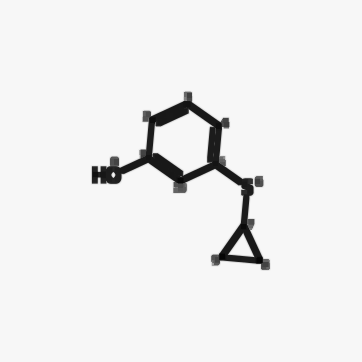 Oc1cccc(SC2CC2)c1